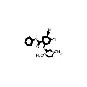 CN1CCN(C)C(=Nc2cc(Cl)c(C#N)cc2C(=O)Nc2ccccc2)C1